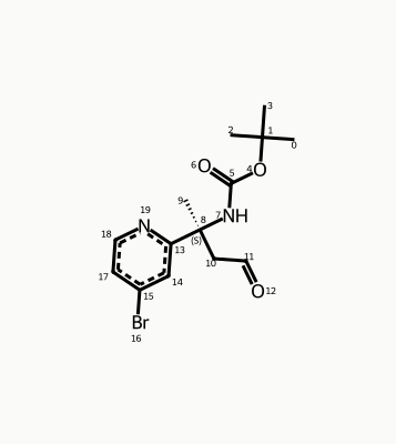 CC(C)(C)OC(=O)N[C@@](C)(CC=O)c1cc(Br)ccn1